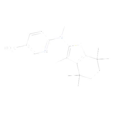 Cc1c(N(C)c2ccc(C(=O)O)cn2)sc2c1C(C)(C)CCC2(C)C